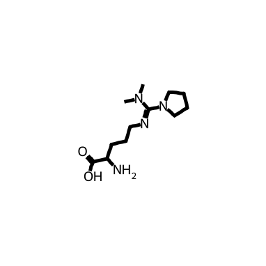 CN(C)C(=NCCCC(N)C(=O)O)N1CCCC1